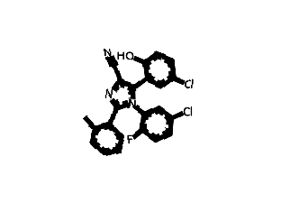 Cc1ccccc1-c1nc(C#N)c(-c2cc(Cl)ccc2O)n1-c1cc(Cl)ccc1F